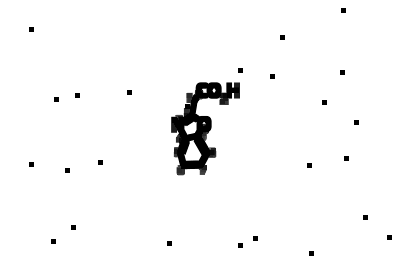 O=C(O)Cc1nc2ccccc2o1